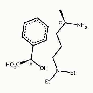 CCN(CC)CCC[C@@H](C)N.O=C(O)[C@H](O)c1ccccc1